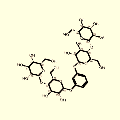 OC[C@H]1O[C@@H](O[C@H]2[C@H](O)[C@@H](O)[C@H](Sc3cccc(S[C@@H]4O[C@H](CO)[C@@H](O[C@@H]5O[C@H](CO)[C@@H](O)[C@H](O)[C@H]5O)[C@H](O)[C@H]4O)c3)O[C@@H]2CO)[C@H](O)[C@@H](O)[C@@H]1O